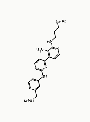 CC(=O)NCCCNc1nccc(-c2ccnc(Nc3cccc(CNC(C)=O)c3)n2)c1C